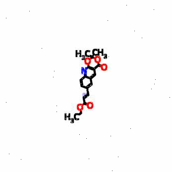 CCOC(=O)/C=C/c1ccc2nc3c(cc2c1)C(=O)OC(C)(C)O3